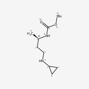 C[C@H](CCNC1CC1)NC(=O)OC(C)(C)C